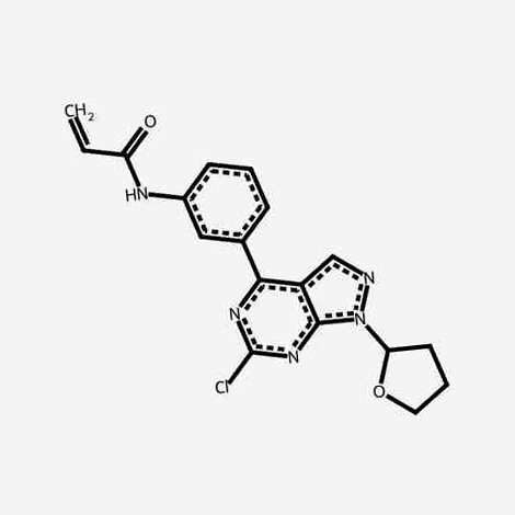 C=CC(=O)Nc1cccc(-c2nc(Cl)nc3c2cnn3C2CCCO2)c1